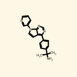 CC(C)(N)c1ccc(-c2ncnc3c2ccn3-c2cccnc2)cc1